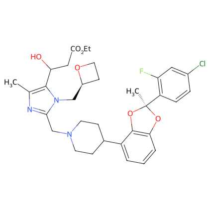 CCOC(=O)CC(O)c1c(C)nc(CN2CCC(c3cccc4c3O[C@@](C)(c3ccc(Cl)cc3F)O4)CC2)n1C[C@@H]1CCO1